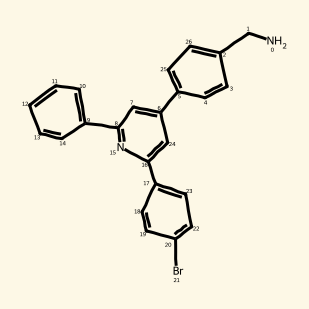 NCc1ccc(-c2cc(-c3ccccc3)nc(-c3ccc(Br)cc3)c2)cc1